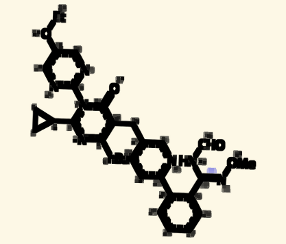 CCCCc1nc(C2CC2)n(-c2ncc(OCC)cn2)c(=O)c1Cc1ccc(-c2ccccc2/C(=N/OC)NC=O)nc1